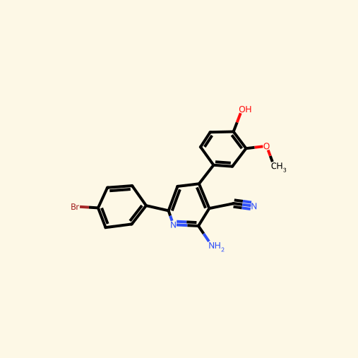 COc1cc(-c2cc(-c3ccc(Br)cc3)nc(N)c2C#N)ccc1O